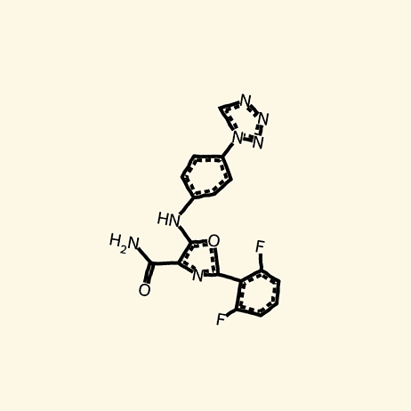 NC(=O)c1nc(-c2c(F)cccc2F)oc1Nc1ccc(-n2cnnn2)cc1